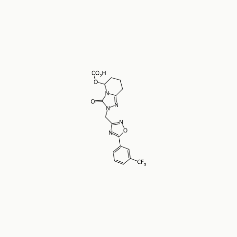 O=C(O)OC1CCCc2nn(Cc3noc(-c4cccc(C(F)(F)F)c4)n3)c(=O)n21